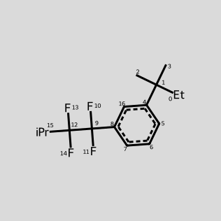 CCC(C)(C)c1cccc(C(F)(F)C(F)(F)C(C)C)c1